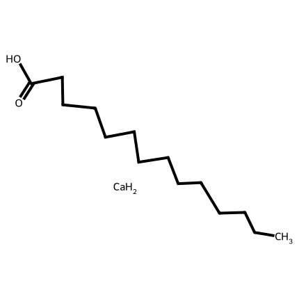 CCCCCCCCCCCCCC(=O)O.[CaH2]